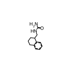 NC(=O)NCC1CCCc2ccccc21